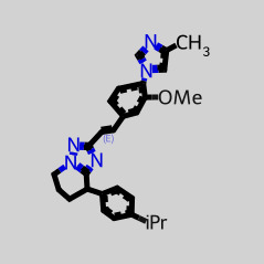 COc1cc(/C=C/c2nc3n(n2)CCCC3c2ccc(C(C)C)cc2)ccc1-n1cnc(C)c1